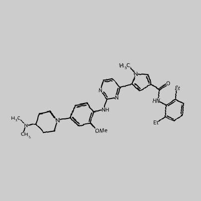 CCc1cccc(CC)c1NC(=O)c1cc(-c2ccnc(Nc3ccc(N4CCC(N(C)C)CC4)cc3OC)n2)n(C)c1